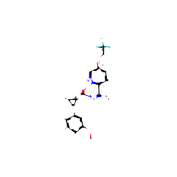 COc1cccc([C@H]2C[C@@H]2C(=O)N[C@H](C)c2ccc(OCC(F)(F)F)cn2)c1